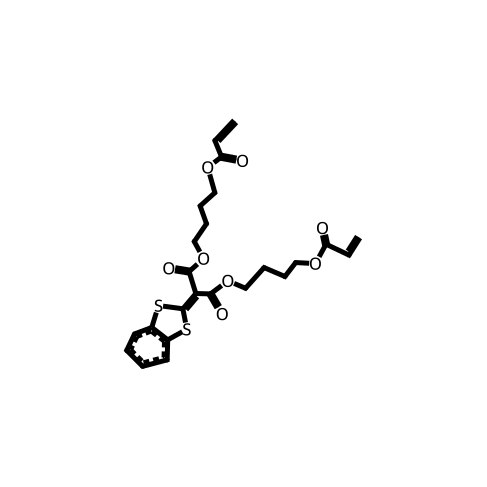 C=CC(=O)OCCCCOC(=O)C(C(=O)OCCCCOC(=O)C=C)=C1Sc2ccccc2S1